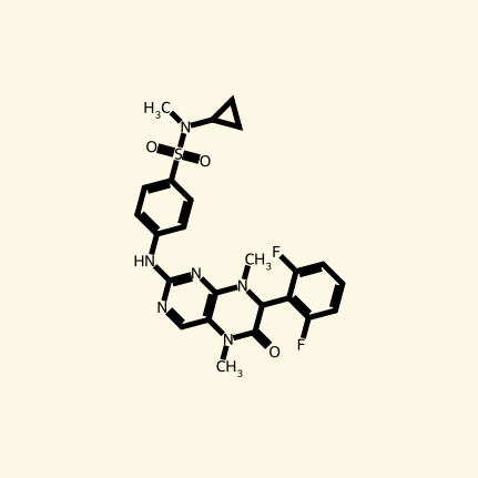 CN1C(=O)C(c2c(F)cccc2F)N(C)c2nc(Nc3ccc(S(=O)(=O)N(C)C4CC4)cc3)ncc21